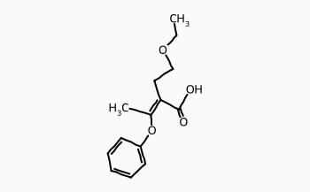 CCOCCC(C(=O)O)=C(C)Oc1ccccc1